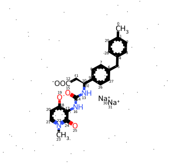 Cc1ccc(Cc2ccc([C@H](CC(=O)[O-])NC(=O)Nc3c([O-])ccn(C)c3=O)cc2)cc1.[Na+].[Na+]